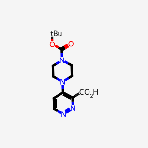 CC(C)(C)OC(=O)N1CCN(c2ccnnc2C(=O)O)CC1